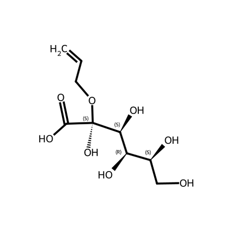 C=CCO[C@](O)(C(=O)O)[C@@H](O)[C@H](O)[C@@H](O)CO